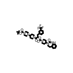 CC(C)(C)OC(=O)N1CCN(C2CCN(C(=O)C(Cc3cccc(C(F)(F)F)c3)OC(=O)N3CCC(N4CCc5ccccc5NC4=O)CC3)CC2)CC1